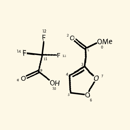 COC(=O)C1=CCOO1.O=C(O)C(F)(F)F